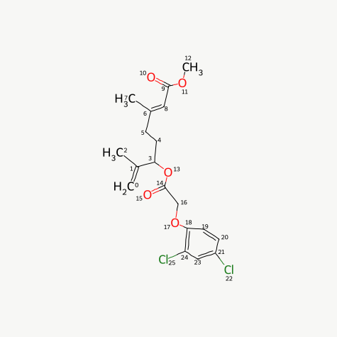 C=C(C)C(CCC(C)=CC(=O)OC)OC(=O)COc1ccc(Cl)cc1Cl